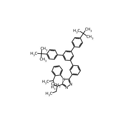 CCC(C)c1nnc(-c2cccc(-c3cc(-c4ccc(C(C)(C)C)cc4)cc(-c4ccc(C(C)(C)C)cc4)c3)c2)n1-c1ccccc1C(C)C